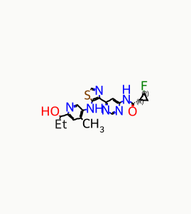 CCC(O)c1cc(C)c(Nc2scnc2-c2cc(NC(=O)[C@H]3C[C@H]3F)ncn2)cn1